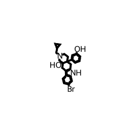 Oc1cccc(C23CCN(CC4CC4)CC2(O)Cc2c([nH]c4cc(Br)ccc24)C3)c1